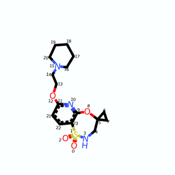 O=S1(=O)NCC2(CC2)Oc2nc(OCCN3CCCCC3)ccc21